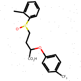 Cc1ccccc1[S+]([O-])CCC(Oc1ccc(C(F)(F)F)cc1)C(=O)O